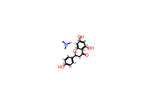 CN(C)C.O=C1CC(c2ccc(O)cc2)Oc2cc(O)cc(O)c21